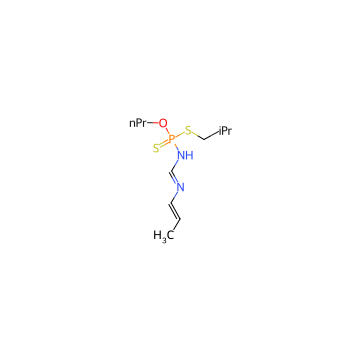 CC=CN=CNP(=S)(OCCC)SCC(C)C